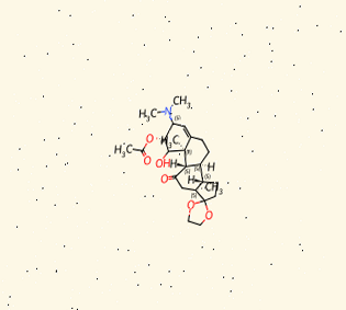 CC(=O)O[C@H]1C(O)[C@@]2(C)C(=C[C@@H]1N(C)C)CC[C@H]1[C@@H]3CCC4(OCCO4)[C@@]3(C)CC(=O)[C@@H]12